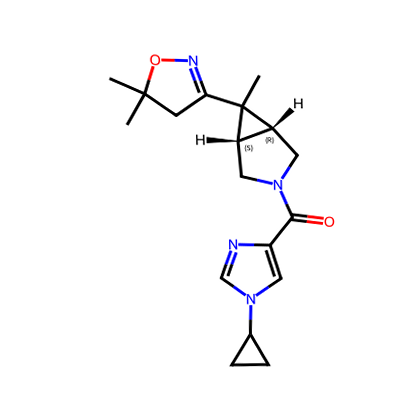 CC1(C)CC(C2(C)[C@@H]3CN(C(=O)c4cn(C5CC5)cn4)C[C@@H]32)=NO1